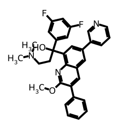 COc1nc2c(C(O)(CCN(C)C)c3cc(F)cc(F)c3)cc(-c3cccnc3)cc2cc1-c1ccccc1